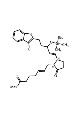 COC(=O)CCCC=CC[C@H]1C(=O)CC[C@@H]1C=CC(CCc1sc2ccccc2c1Cl)O[Si](C)(C)C(C)(C)C